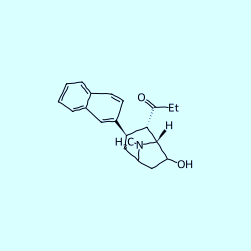 CCC(=O)[C@H]1[C@H](c2ccc3ccccc3c2)CC2CC(O)[C@@H]1N2C